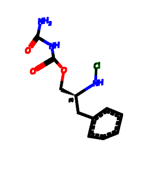 NC(=O)NC(=O)OC[C@@H](Cc1ccccc1)NCl